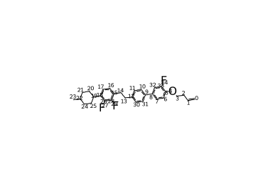 C=CCCOc1ccc(-c2ccc(CCc3ccc(C4CCC(C)CC4)c(F)c3F)cc2)cc1F